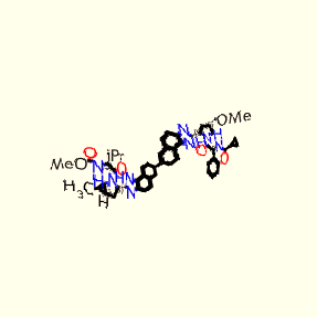 COC[C@H]1C[C@@H](c2nc3ccc4cc(-c5ccc6c(ccc7nc([C@@H]8C[C@H]9C(C)=C9N8C(=O)[C@@H](NC(=O)OC)C(C)C)[nH]c76)c5)ccc4c3[nH]2)N(C(=O)[C@H](NC(=O)C2CC2)c2ccccc2)C1